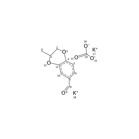 CC1COc2ccc(C=O)cc2O1.O=C([O-])[O-].[K+].[K+]